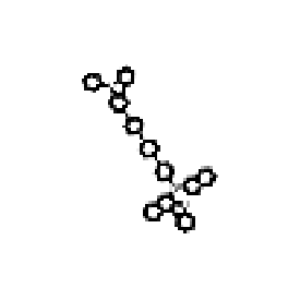 c1ccc(-n2c3ccccc3c3cc(-c4ccc(-c5ccc(-c6ccc(N(c7ccc8ccccc8c7)c7cc8ccccc8c8c7oc7ccccc78)cc6)cc5)cc4)ccc32)cc1